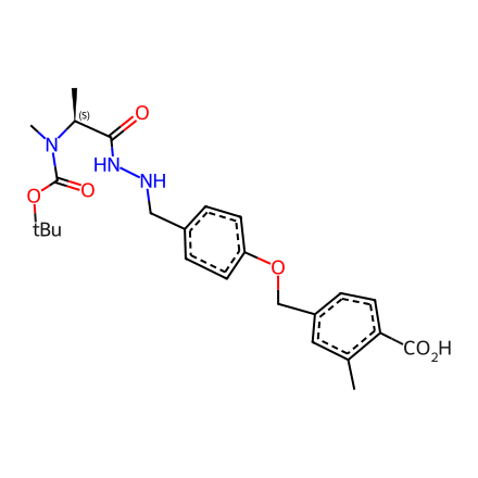 Cc1cc(COc2ccc(CNNC(=O)[C@H](C)N(C)C(=O)OC(C)(C)C)cc2)ccc1C(=O)O